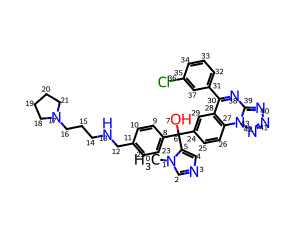 Cn1cncc1C(O)(c1ccc(CNCCCN2CCCC2)cc1)c1ccc2c(c1)c(-c1cccc(Cl)c1)nc1nnnn12